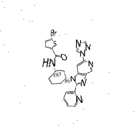 O=C(N[C@H]1CCC[C@@H](n2c(-c3ccccn3)nc3cnc(-n4cncn4)cc32)C1)c1ccc(Br)s1